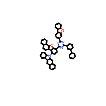 c1ccc(-c2cccc(-c3nc(-c4ccc5c(c4)oc4ccccc45)nc(-c4ccc(-n5c6ccccc6c6cc7ccccc7cc65)c5c4oc4c6ccccc6ccc45)n3)c2)cc1